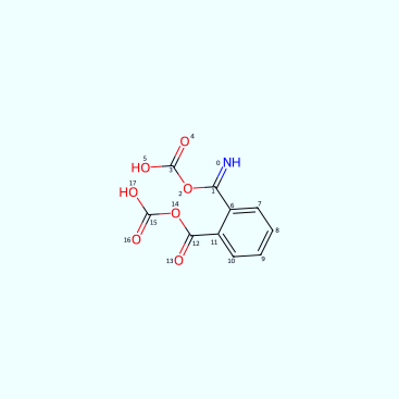 N=C(OC(=O)O)c1ccccc1C(=O)OC(=O)O